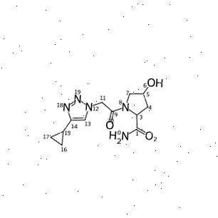 NC(=O)C1CC(O)CN1C(=O)Cn1cc(C2CC2)nn1